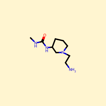 CNC(=O)NC1CCCN(CCN)C1